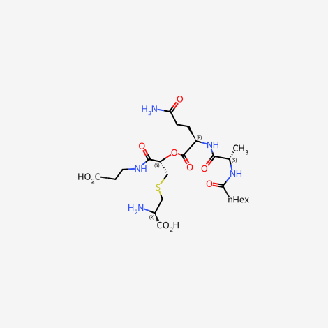 CCCCCCC(=O)N[C@@H](C)C(=O)N[C@H](CCC(N)=O)C(=O)O[C@H](CSC[C@H](N)C(=O)O)C(=O)NCCC(=O)O